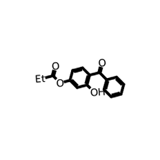 CCC(=O)Oc1ccc(C(=O)c2ccccc2)c(O)c1